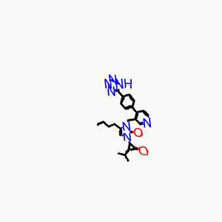 CCCCc1cn(C2C(=O)C2C(C)C)c(=O)n1Cc1cnccc1-c1ccc(-c2nnn[nH]2)cc1